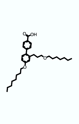 CCCCCCCCOc1ccc(-c2ccc(C(=O)O)cc2)c(CCCOCCCCCCC)c1